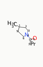 CC1CCN(C(=O)C(C)C)CC1